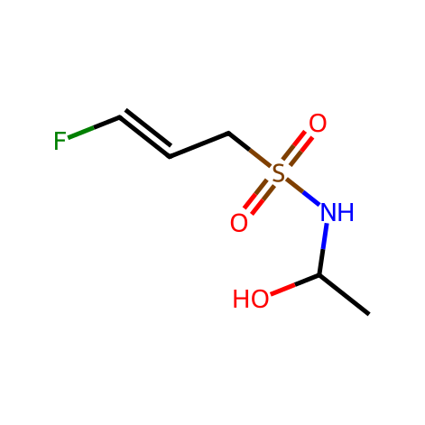 CC(O)NS(=O)(=O)CC=CF